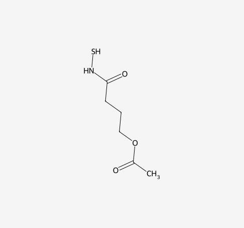 CC(=O)OCCCC(=O)NS